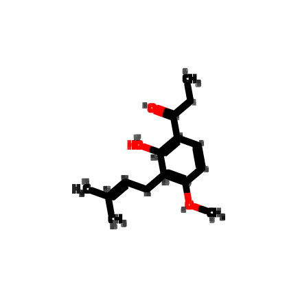 CCC(=O)c1ccc(OC)c(CC=C(C)C)c1O